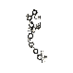 CN(C(=O)C1(Oc2ccn(C)n2)CCN(c2cnnc(-c3ccccc3O)c2)CC1)C1CCN(CC2CCN(c3ccc([C@H]4CCC(=O)NC4=O)cc3)CC2)CC1